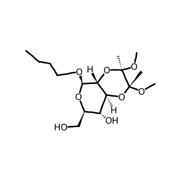 CCCCO[C@@H]1O[C@H](CO)[C@@H](O)[C@@H]2O[C@@](C)(OC)[C@](C)(OC)O[C@@H]12